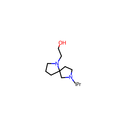 CC(C)N1CCC2(CCCN2CCO)C1